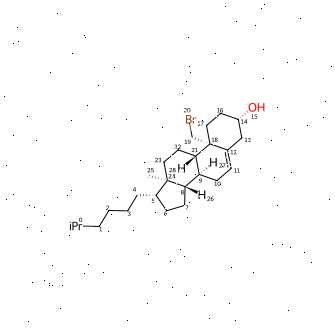 CC(C)CCCC[C@H]1CC[C@H]2[C@@H]3CC=C4C[C@@H](O)CC[C@]4(CBr)[C@H]3CC[C@]12C